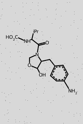 CC(C)C(NC(=O)O)C(=O)N1COC(O)C1Cc1ccc(N)cc1